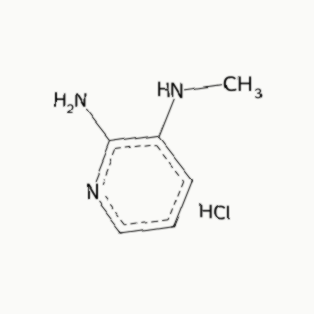 CNc1cccnc1N.Cl